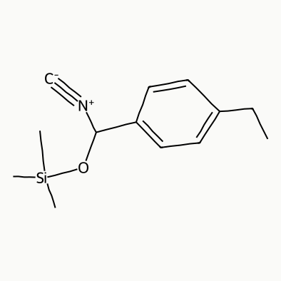 [C-]#[N+]C(O[Si](C)(C)C)c1ccc(CC)cc1